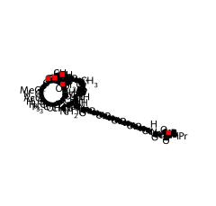 CO[C@H]1/C=C/O[C@@]2(C)Oc3c(C)c(O)c4c(=O)c(c5oc6cc(OCC[N+](C)(C)Cc7ccc(NC(=O)[C@H](CCCNC(N)=O)NC(=O)[C@@H](NC(=O)CCOCCOCCOCCOCCOCCOCCOCCOCCNC(=O)CCN8C(=O)C9C%10C=C(C(C)C)C(C%10)C9C8=O)C(C)C)cc7)cc(O)c6nc-5c4c3C2=O)NC(=O)/C(C)=C\C=C\[C@H](C)[C@H](O)[C@@H](C)[C@@H](C)[C@@H](C)[C@H](OC(C)=O)[C@@H]1C